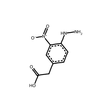 NNc1ccc(CC(=O)O)cc1[N+](=O)[O-]